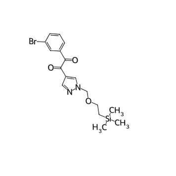 C[Si](C)(C)CCOCn1cc(C(=O)C(=O)c2cccc(Br)c2)cn1